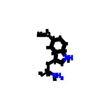 COc1ccc2[nH]cc(C[C@@H](C)N)c2c1